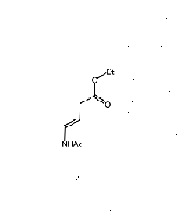 CCOC(=O)C/C=C/NC(C)=O